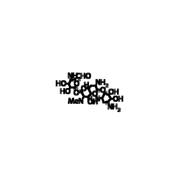 CNC1C(O)C2O[C@H](O[C@@H]3C(N)C[C@@H](N)C(O)C3O)C(N)C[C@@H]2O[C@@H]1O[C@H]1OC(C=O)[C@@H](N)C(O)C1O